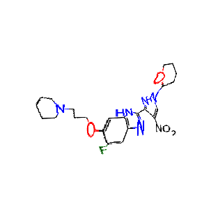 O=[N+]([O-])c1cn(C2CCCCO2)nc1-c1nc2cc(F)c(OCCCN3CCCCC3)cc2[nH]1